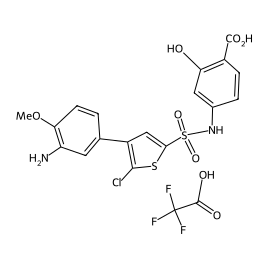 COc1ccc(-c2cc(S(=O)(=O)Nc3ccc(C(=O)O)c(O)c3)sc2Cl)cc1N.O=C(O)C(F)(F)F